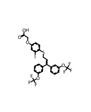 O=C(O)COc1ccc(SCC=C(c2cccc(OC(F)(F)F)c2)c2cccc(OC(F)(F)F)c2)c(I)c1